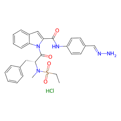 CCS(=O)(=O)N(C)[C@H](Cc1ccccc1)C(=O)n1c(C(=O)Nc2ccc(C=NN)cc2)cc2ccccc21.Cl